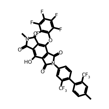 Cc1ccc(-c2ccc(-n3c(=O)c4c(O)c5c(=O)n(C)c(=O)c5c(Oc5c(F)c(F)c(F)c(F)c5F)c4c3=O)cc2C(F)(F)F)c(C(F)(F)F)c1